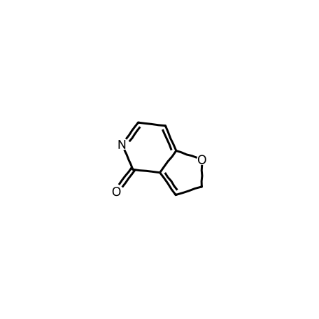 O=C1N=CC=C2OCC=C12